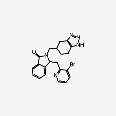 O=C1c2ccccc2C(Cc2ncccc2Br)N1CC1CCc2[nH]nnc2C1